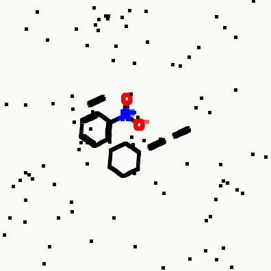 C1CCCCC1.C=C.C=C.C=C.O=[N+]([O-])c1ccccc1